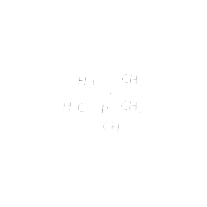 CP(C)C(C)(C)C